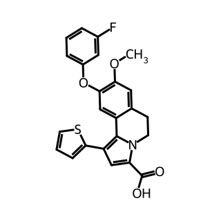 COc1cc2c(cc1Oc1cccc(F)c1)-c1c(-c3cccs3)cc(C(=O)O)n1CC2